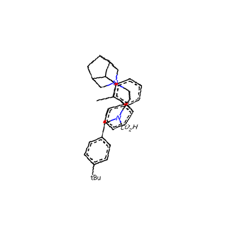 Cc1c(C2C3CCC2CN(Cc2ccccc2)C3)cccc1N(Cc1ccc(C(C)(C)C)cc1)C(=O)O